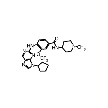 CN1CCC(NC(=O)c2ccc(Nc3ncc4ncn(C5CCCC5)c4n3)c(OC(F)(F)F)c2)CC1